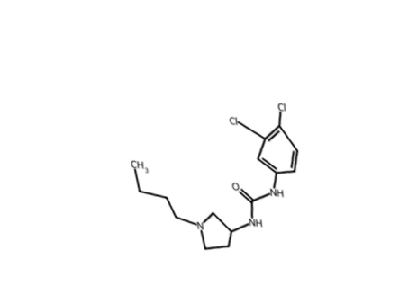 CCCCN1CCC(NC(=O)Nc2ccc(Cl)c(Cl)c2)C1